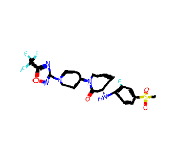 CS(=O)(=O)c1ccc(N[C@H]2CCCN(C3CCN(c4noc(C(F)(F)F)n4)CC3)C2=O)c(F)c1